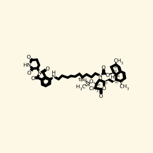 C[C@H]1C=C2C=C[C@H](C)[C@H](CC[C@@H]3C[C@@H](O[Si](C)(C)C(C)(C)C)CC(=O)O3)[C@H]2[C@@H](OC(=O)NCCCCCCCCCCNc2cccc3c2C(=O)N(C2CCC(=O)NC2=O)C3=O)C1